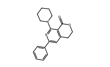 O=C1OCCc2cc(-c3ccccc3)nc(N3CCCCC3)c21